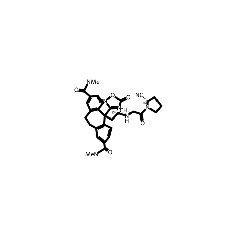 CNC(=O)c1ccc2c(c1)CCc1cc(C(=O)NC)ccc1C2(C[C@H](C)NCC(=O)N1CCC[C@H]1C#N)c1nc(=O)o[nH]1